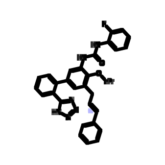 CCCOc1c(C/C=C/c2ccccc2)cc(-c2ccccc2-c2nnn[nH]2)cc1NC(=O)Nc1ccccc1F